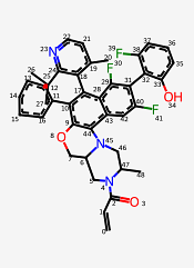 C=CC(=O)N1CC2COc3c(-c4ccccc4)c(-c4c(C)ccnc4C(C)C)c4c(F)c(-c5c(O)cccc5F)c(F)cc4c3N2CC1C